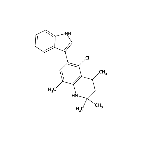 Cc1cc(-c2c[nH]c3ccccc23)c(Cl)c2c1NC(C)(C)CC2C